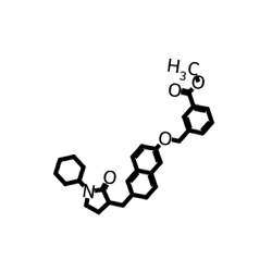 COC(=O)c1cccc(COc2ccc3c(c2)=CCC(CC2CCN(C4CCCCC4)C2=O)C=3)c1